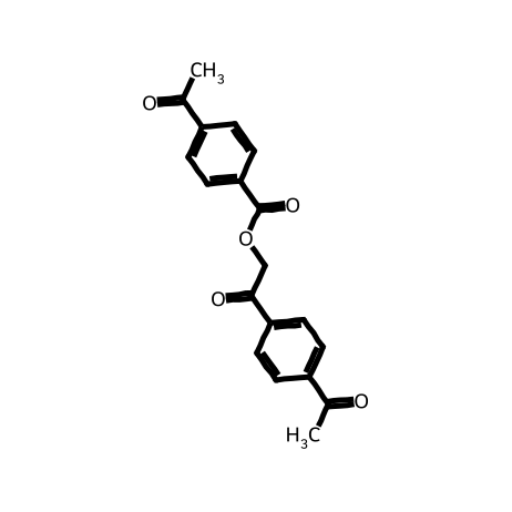 CC(=O)c1ccc(C(=O)COC(=O)c2ccc(C(C)=O)cc2)cc1